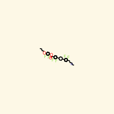 C/C=C/CCc1ccc(C2CCC(c3ccc(C(=O)Oc4ccc(OCCCC)c(F)c4F)c(F)c3F)CC2)c(F)c1F